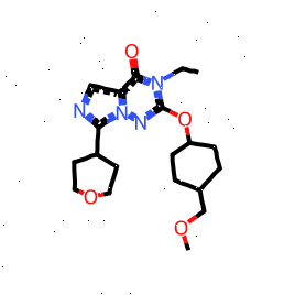 CCn1c(OC2CCC(COC)CC2)nn2c(C3CCOCC3)ncc2c1=O